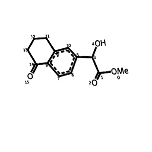 COC(=O)C(O)c1ccc2c(c1)CCCC2=O